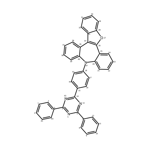 c1ccc(-c2nc(-c3ccccc3)nc(-c3ccc(N4c5ccccc5-c5oc6ccccc6c5-c5ccccc54)cc3)n2)cc1